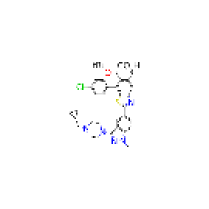 Cc1cc2nc(-c3ccc4c(c3)c(N3CCN(CC5CC5)CC3)nn4C)sc2c(-c2ccc(Cl)cc2)c1[C@H](OC(C)(C)C)C(=O)O